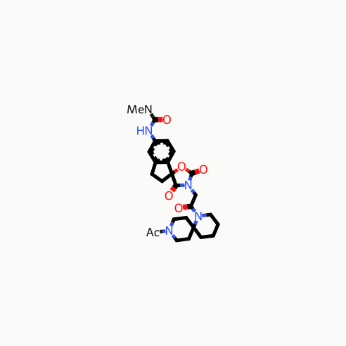 CNC(=O)Nc1ccc2c(c1)CCC21OC(=O)N(CC(=O)N2CCCCC23CCN(C(C)=O)CC3)C1=O